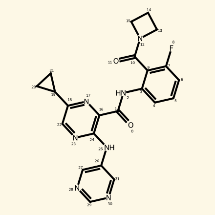 O=C(Nc1cccc(F)c1C(=O)N1CCC1)c1nc(C2CC2)cnc1Nc1cncnc1